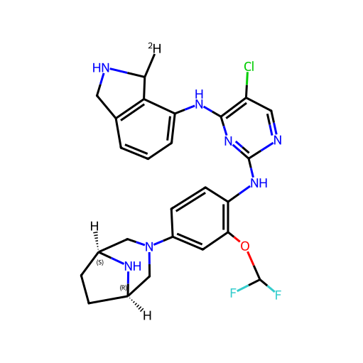 [2H]C1NCc2cccc(Nc3nc(Nc4ccc(N5C[C@H]6CC[C@@H](C5)N6)cc4OC(F)F)ncc3Cl)c21